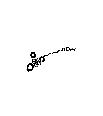 CCCCCCCCCCCCCCCCCCc1ccc(OP(=O)(Oc2ccccc2)Oc2ccccc2)cc1